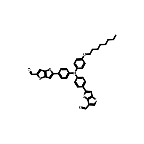 CCCCCCCCOc1ccc(N(c2ccc(-c3cc4sc(C=O)cc4s3)cc2)c2ccc(-c3cc4scc(C=O)c4s3)cc2)cc1